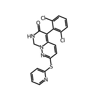 O=C1NCN2N=C(Sc3ccccn3)C=CC2=C1c1c(Cl)cccc1Cl